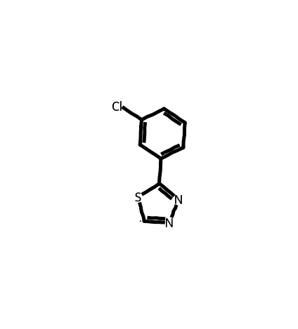 Clc1cccc(-c2nn[c]s2)c1